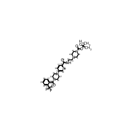 CC(C)(C)OC(=O)N1CCN(CCNC(=O)c2ccc(N3CCN(C(=O)c4ccccc4C(F)(F)F)CC3)cn2)CC1